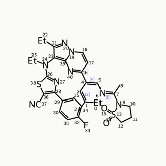 CC\C(C)=C/C(=C\N=C(/C)N1CCCS1(=O)=O)c1ccn2nc(CC)c(N(CC)c3nc(-c4ccc(F)cc4)c(C#N)s3)c2n1